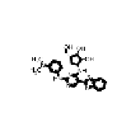 CN(C)c1cccc(Nc2ncc(-c3nc4ccccc4s3)c(N[C@@H]3C[C@H](CO)[C@@H](O)[C@H]3O)n2)c1